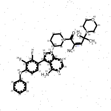 CC(C)(/C=C(/C#N)C(=O)N1CCC[C@@H](n2nc(-c3ccc(Oc4ccccc4)c(F)c3F)c3c(N)ncnc32)C1)N1CCOCC1